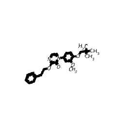 COc1cc(-n2ccnc(OCCc3ccccc3)c2=O)ccc1OCC(C)(C)C